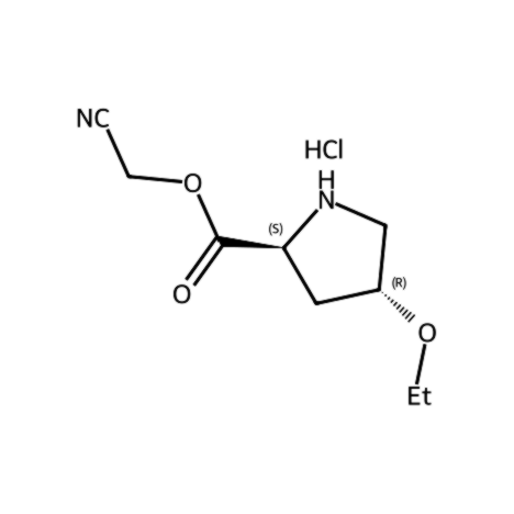 CCO[C@H]1CN[C@H](C(=O)OCC#N)C1.Cl